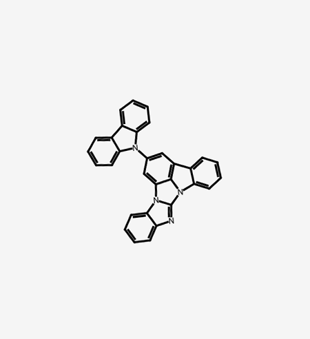 c1ccc2c(c1)nc1n2c2cc(-n3c4ccccc4c4ccccc43)cc3c4ccccc4n1c32